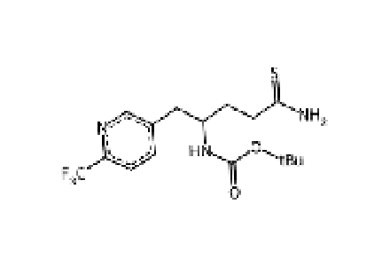 CC(C)(C)OC(=O)NC(CCC(N)=S)Cc1ccc(C(F)(F)F)nc1